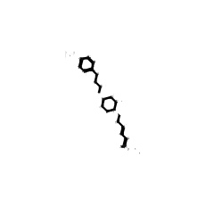 N#CC(F)=CC=CCC[C@H]1CC[C@H](CCCCc2ccc(C#N)cc2)CC1